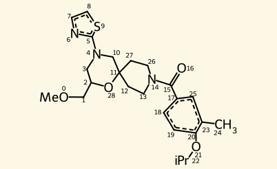 COCC1CN(c2nccs2)CC2(CCN(C(=O)c3ccc(OC(C)C)c(C)c3)CC2)O1